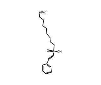 CCCCCCCCCCCCCCCCCCP(=O)(O)C=Cc1ccccc1